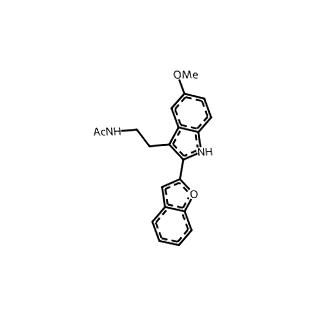 COc1ccc2[nH]c(-c3cc4ccccc4o3)c(CCNC(C)=O)c2c1